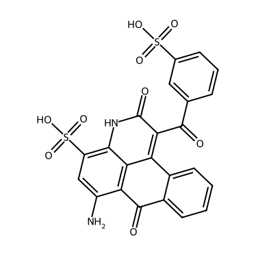 Nc1cc(S(=O)(=O)O)c2[nH]c(=O)c(C(=O)c3cccc(S(=O)(=O)O)c3)c3c2c1C(=O)c1ccccc1-3